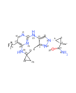 Cc1nn([C@@H]2C[C@]2(C)C(N)=O)cc1Nc1ncc(C(F)(F)F)c(NC2(C)CC2)n1